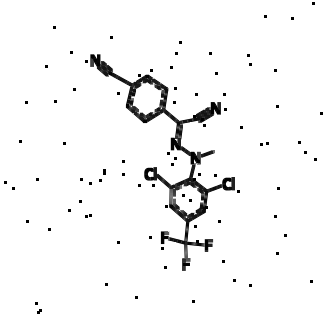 CN(N=C(C#N)c1ccc(C#N)cc1)c1c(Cl)cc(C(F)(F)F)cc1Cl